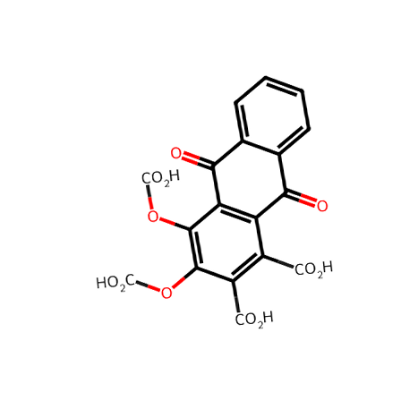 O=C(O)Oc1c(OC(=O)O)c2c(c(C(=O)O)c1C(=O)O)C(=O)c1ccccc1C2=O